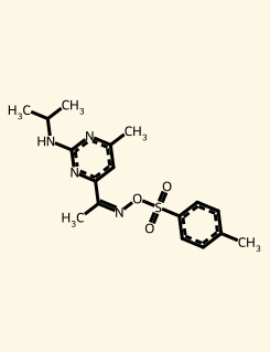 CC(=NOS(=O)(=O)c1ccc(C)cc1)c1cc(C)nc(NC(C)C)n1